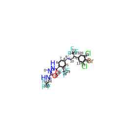 CN(NC(=O)c1ccc(/C=C/C(c2cc(Cl)c(Br)c(Cl)c2)C(F)(F)F)cc1C(F)(F)F)C(=O)NCC(F)(F)F